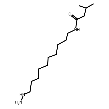 CC(C)CC(=O)NCCCCCCCCCCNN